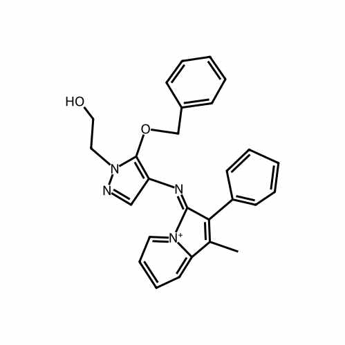 CC1=C(c2ccccc2)/C(=N/c2cnn(CCO)c2OCc2ccccc2)[n+]2ccccc21